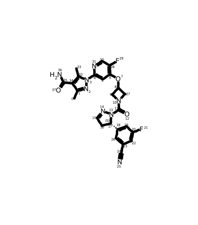 Cc1nn(-c2cc(OC3CN(C(=O)N4N=CC[C@H]4c4cc(F)cc(C#N)c4)C3)c(F)cn2)c(C)c1C(N)=O